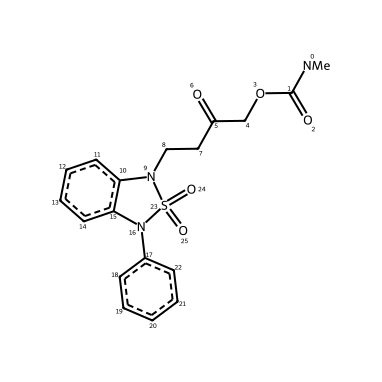 CNC(=O)OCC(=O)CCN1c2ccccc2N(c2ccccc2)S1(=O)=O